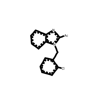 CC(=O)c1nc2ccccc2n1Cc1ccccc1Cl